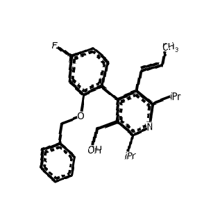 CC=Cc1c(C(C)C)nc(C(C)C)c(CO)c1-c1ccc(F)cc1OCc1ccccc1